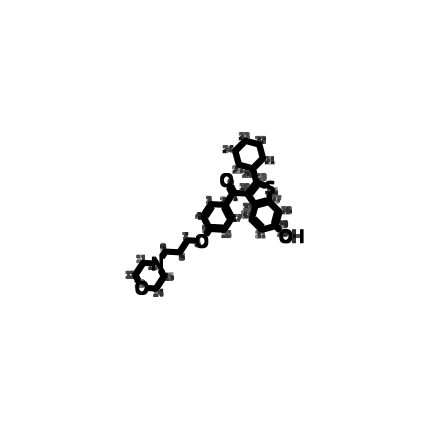 O=C(c1ccc(OCCCN2CCOCC2)cc1)c1c(C2CCCCC2)sc2cc(O)ccc12